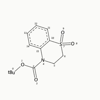 CC(C)(C)OC(=O)N1CCS(=O)(=O)c2ccccc21